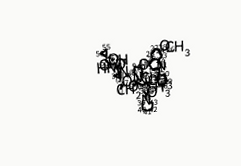 C=C[C@@H]1C[C@]1(NC(=O)[C@@H]1C[C@H](Oc2cc(-c3ccccc3)nc3cc(OC)ccc23)CN1C(=O)[C@@H](CC(=O)N1CCCCC1)C(C)(C)C)C(=O)NS(=O)(=O)C1CC1